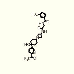 O=C(CNC(=O)c1cccc(C(F)(F)F)c1)NC1CN(C2CCC(O)(c3ccc(C(=O)C(F)(F)F)nc3)CC2)C1